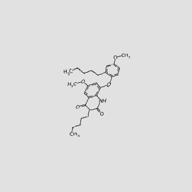 CCCCCc1cc(OC)ccc1Oc1cc(OC)cc2c1NC(=O)C(CCCCC)C2=O